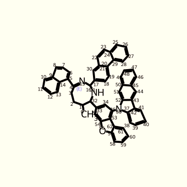 CC1CC/C(c2cccc3ccccc23)=N\C(c2ccc3c(ccc4ccccc43)c2)NC1c1cc(-n2c3ccccc3c3cc4ccccc4cc32)c2c(c1)oc1ccccc12